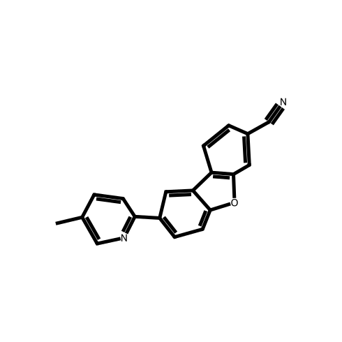 Cc1ccc(-c2ccc3oc4cc(C#N)ccc4c3c2)nc1